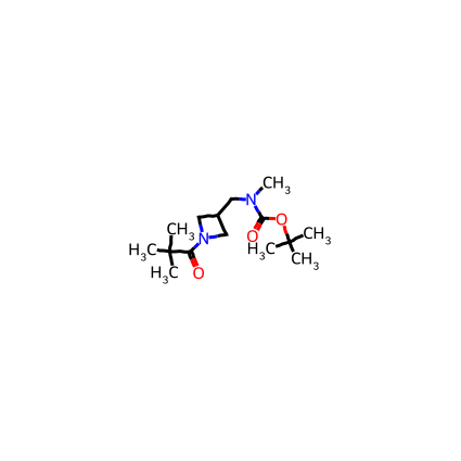 CN(CC1CN(C(=O)C(C)(C)C)C1)C(=O)OC(C)(C)C